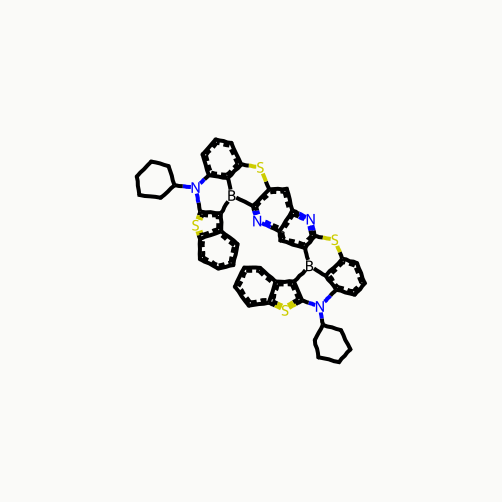 c1cc2c3c(c1)N(C1CCCCC1)c1sc4ccccc4c1B3c1cc3nc4c(cc3nc1S2)Sc1cccc2c1B4c1c(sc3ccccc13)N2C1CCCCC1